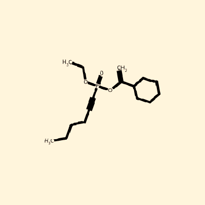 C=C(OP(=O)(C#CCCCC)OCC)C1CCCCC1